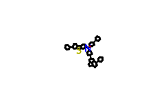 C1=Cc2cc(-c3ccc(N(c4ccc(-c5ccccc5)cc4)c4ccc5c(c4)sc4cc(-c6ccccc6)ccc45)cc3)cc3c(-c4ccccc4)ccc1c23